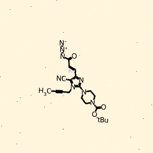 CC#CCn1c(N2CCN(C(=O)OC(C)(C)C)CC2)nc(/C=C/C(=O)N=[N+]=[N-])c1C#N